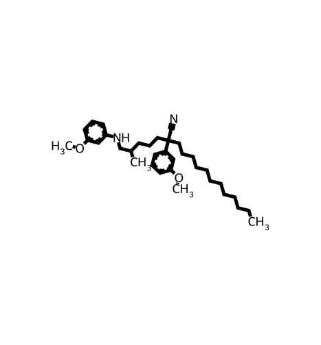 CCCCCCCCCCCCC(C#N)(CCCC(C)CNc1cccc(OC)c1)c1cccc(OC)c1